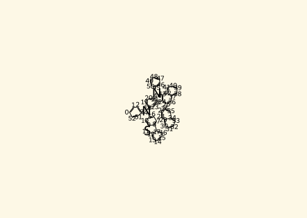 c1ccc(N(c2ccc3c(c2)sc2ccccc23)c2ccc3c(c2)c2c(-c4ccc5ccccc5c4)cc4ccccc4c2n3-c2ccccc2)cc1